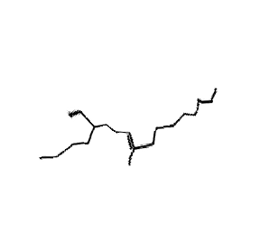 CCCCCCCCC(C)=CCCC(CC)CCCC